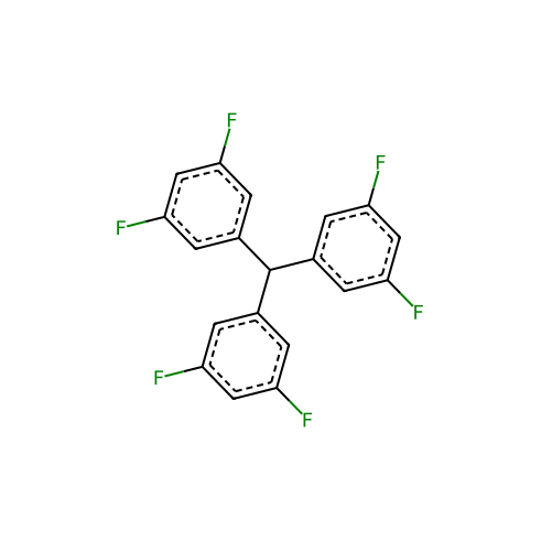 Fc1cc(F)cc(C(c2cc(F)cc(F)c2)c2cc(F)cc(F)c2)c1